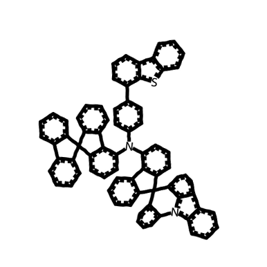 c1ccc2c(c1)-c1ccccc1C21c2ccccc2-c2c(N(c3ccc(-c4cccc5c4sc4ccccc45)cc3)c3cccc4c3-c3ccccc3C43c4ccccc4-n4c5ccccc5c5cccc3c54)cccc21